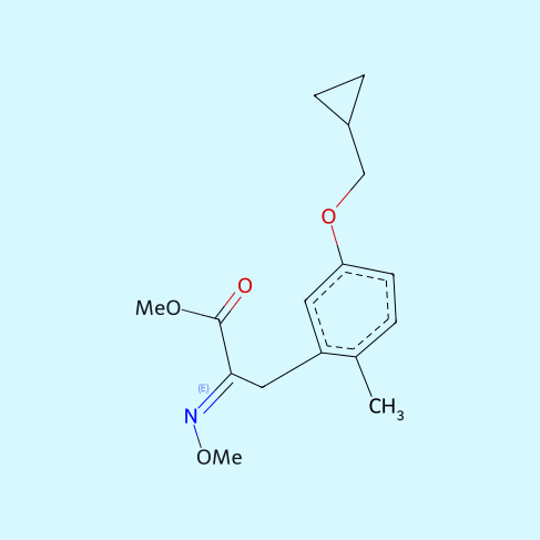 CO/N=C(\Cc1cc(OCC2CC2)ccc1C)C(=O)OC